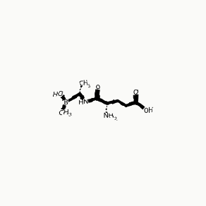 CB(O)[C@H](C)NC(=O)[C@@H](N)CCC(=O)O